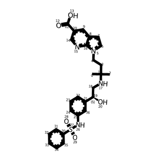 CC(C)(CCn1ccc2cc(C(=O)O)cnc21)NC[C@@H](O)c1cccc(NS(=O)(=O)c2ccccc2)c1